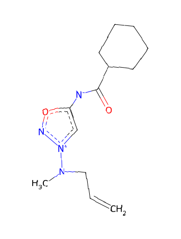 C=CCN(C)[n+]1cc([N-]C(=O)C2CCCCC2)on1